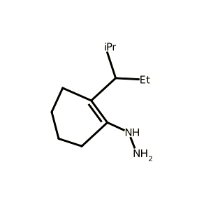 CCC(C1=C(NN)CCCC1)C(C)C